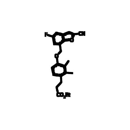 CCOC(=O)CCc1ccc(OCc2cc(F)cc3cc(C#N)oc23)c(C)c1C